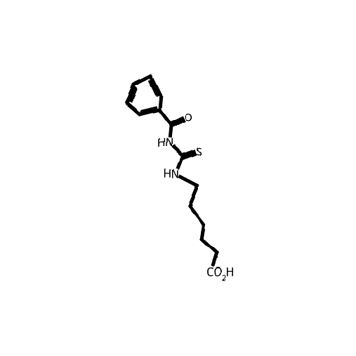 O=C(O)CCCCCNC(=S)NC(=O)c1ccccc1